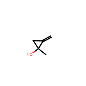 C=C1CC1(C)O